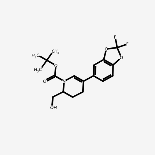 CC(C)(C)OC(=O)N1C=C(c2ccc3c(c2)OC(F)(F)O3)CCC1CO